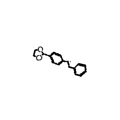 [CH](Cc1ccccc1)c1ccc(C2OCCO2)cc1